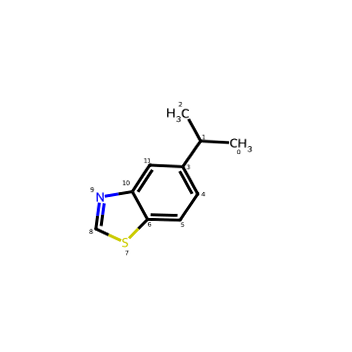 CC(C)c1ccc2scnc2c1